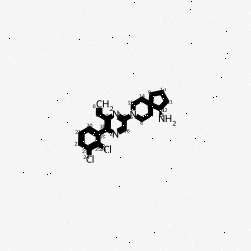 C=Cc1nc(N2CCC3(CCC[C@H]3N)CC2)cnc1-c1cccc(Cl)c1Cl